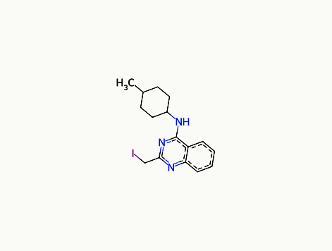 CC1CCC(Nc2nc(CI)nc3ccccc23)CC1